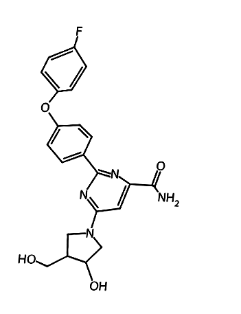 NC(=O)c1cc(N2CC(O)C(CO)C2)nc(-c2ccc(Oc3ccc(F)cc3)cc2)n1